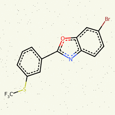 FC(F)(F)Sc1cccc(-c2nc3ccc(Br)cc3o2)c1